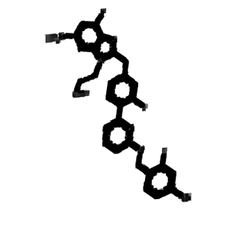 COCCn1c(Cc2ccc(-c3cccc(OCc4ccc(C#N)cc4F)n3)c(F)c2)nc2c(F)cc(C(=O)O)cc21